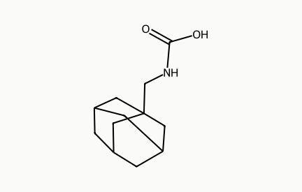 O=C(O)NCC12CC3CC(CC(C3)C1)C2